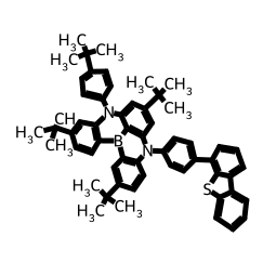 CC(C)(C)c1ccc(N2c3cc(C(C)(C)C)ccc3B3c4cc(C(C)(C)C)ccc4N(c4ccc(-c5cccc6c5sc5ccccc56)cc4)c4cc(C(C)(C)C)cc2c43)cc1